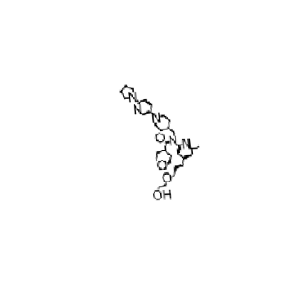 Cc1cc(C=CCOCCO)cc(N(CC2CCN(c3ccc(N4CCCC4)nc3)CC2)C(=O)C2CCOCC2)n1